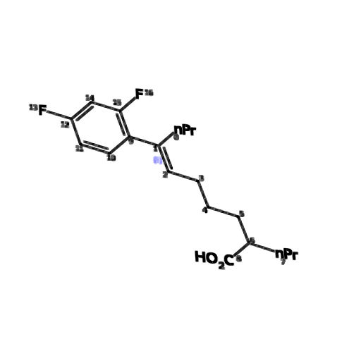 CCC/C(=C\CCCC(CCC)C(=O)O)c1ccc(F)cc1F